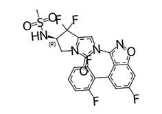 CS(=O)(=O)N[C@@H]1Cn2c(cn(-c3noc4cc(F)cc(-c5c(F)cccc5F)c34)c2=O)C1(F)F